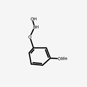 COc1cccc(OBO)c1